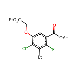 CCOC(=O)COc1cc(C(=O)OC(C)=O)c(F)c(CC)c1Cl